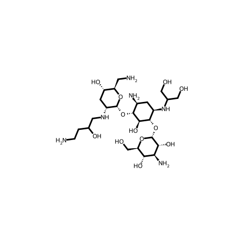 NCCC(O)CN[C@@H]1C[C@H](O)[C@@H](CN)O[C@@H]1O[C@H]1[C@H](O)[C@@H](O[C@H]2O[C@H](CO)[C@@H](O)[C@H](N)[C@H]2O)[C@H](NC(CO)CO)C[C@@H]1N